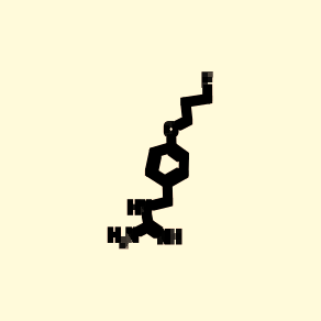 N=C(N)NCc1ccc(OCCCF)cc1